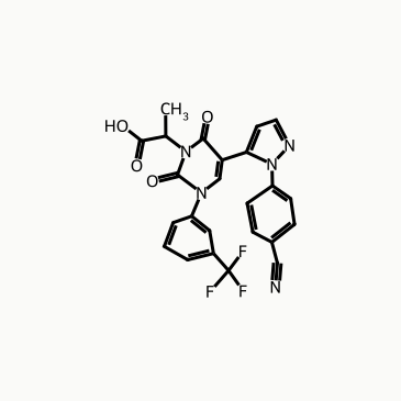 CC(C(=O)O)n1c(=O)c(-c2ccnn2-c2ccc(C#N)cc2)cn(-c2cccc(C(F)(F)F)c2)c1=O